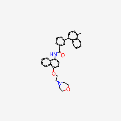 Cc1ccc(-c2cccc(C(=O)Nc3ccc(OCCN4CCOCC4)c4ccccc34)c2)c2ccccc12